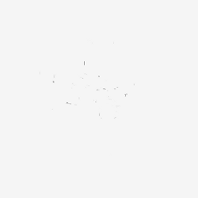 CCOc1ccc2c(c1)C(C)=CC(C)(C)N2[C@@H]1O[C@H](COC(C)=O)[C@@H](OC(C)=O)[C@H](OC(C)=O)[C@]1(O)NC(C)=O